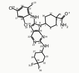 CC1(C(N)=O)CCC(n2c(Nc3c(F)cc(Cl)cc3Cl)nc3cnc(NC4CCC(F)(F)CC4)nc32)CC1